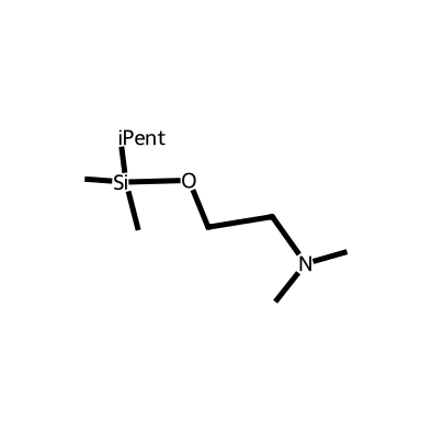 CCCC(C)[Si](C)(C)OCCN(C)C